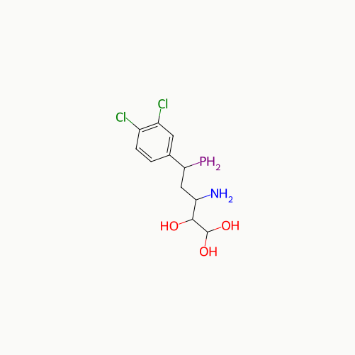 NC(CC(P)c1ccc(Cl)c(Cl)c1)C(O)C(O)O